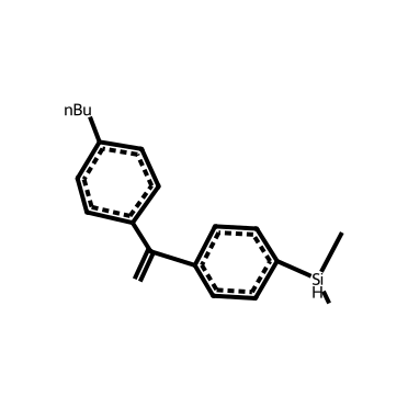 C=C(c1ccc(CCCC)cc1)c1ccc([SiH](C)C)cc1